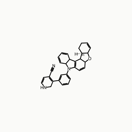 N#CC1=C(c2cccc(N3C4=C(C5C=CC=CC53)C3C(C=C4)OC4C=CCC[C@@H]43)c2)CNC=C1